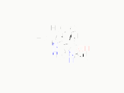 Cc1cc(-c2cccc3c(C)c[nH]c23)c(C#Cc2ccccc2C(C)C)c2c1NC(C)(C)C(O)[C@H]2C